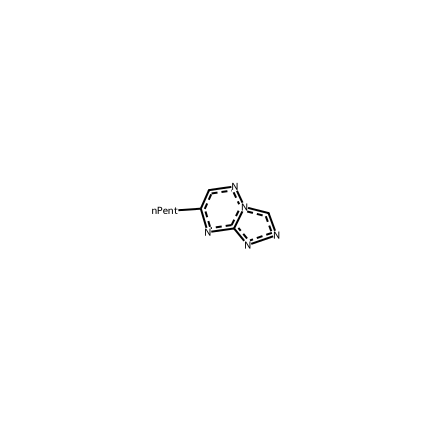 CCCCCc1cnn2cnnc2n1